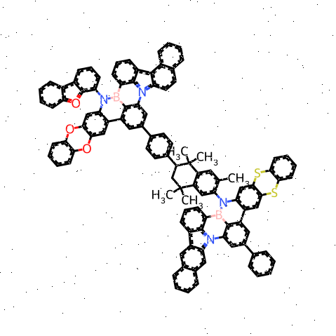 Cc1cc2c(cc1N1B3c4c(cc(-c5ccccc5)cc4-n4c5cc6ccccc6cc5c5cccc3c54)-c3cc4c(cc31)Sc1ccccc1S4)C(C)(C)CC(c1ccc(-c3cc4c5c(c3)-n3c6ccc7ccccc7c6c6cccc(c63)B5N(c3cccc5c3oc3ccccc35)c3cc5c(cc3-4)Oc3ccccc3O5)cc1)C2(C)C